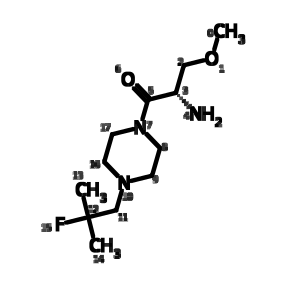 COC[C@H](N)C(=O)N1CCN(CC(C)(C)F)CC1